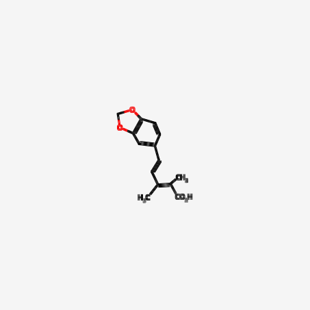 CC(C=Cc1ccc2c(c1)OCO2)=C(C)C(=O)O